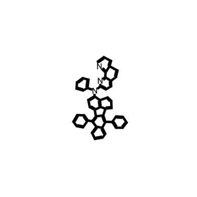 c1ccc(-c2c3c(c(-c4ccccc4)c4ccccc24)-c2ccc(N(c4ccccc4)c4ccc5ccc6cccnc6c5n4)c4cccc-3c24)cc1